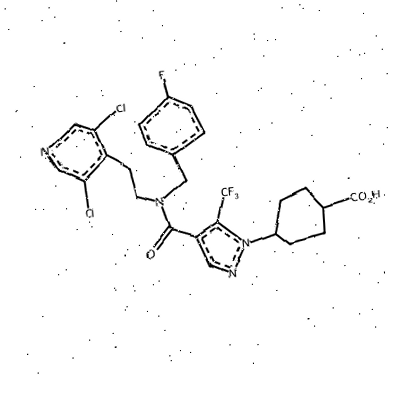 O=C(O)C1CCC(n2ncc(C(=O)N(CCc3c(Cl)cncc3Cl)Cc3ccc(F)cc3)c2C(F)(F)F)CC1